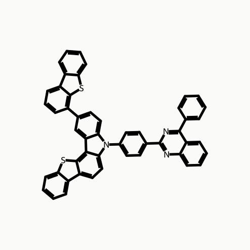 c1ccc(-c2nc(-c3ccc(-n4c5ccc(-c6cccc7c6sc6ccccc67)cc5c5c6sc7ccccc7c6ccc54)cc3)nc3ccccc23)cc1